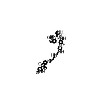 CS(=O)(=O)N1CCc2cccc(Nc3nc(Nc4ccc(N5CCC(NCCNCCCC6CN(c7ccc8c(c7)C(=O)N(C7CCC(=O)NC7=O)C8=O)C6)CC5)c(F)c4)nc4[nH]ccc34)c21